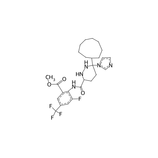 COC(=O)c1cc(C(F)(F)F)cc(F)c1NC(=O)C1CCC(C2CCCCCCCC2)(n2ccnc2)NN1